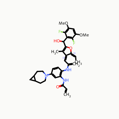 C=CC(=O)Nc1cc(N2CCC3CC3CC2)ccc1NC(=C)/C=c1/c(C)c(C(O)c2c(F)c(OC)cc(OC)c2F)o/c1=C/C